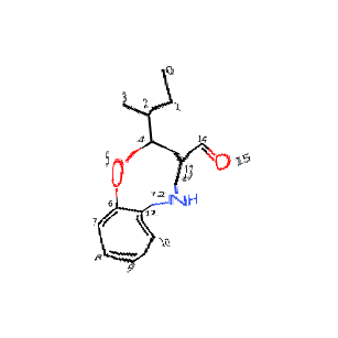 CCC(C)C1Oc2ccccc2NC1C=O